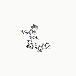 C=N/C=C(\C=C(/C)c1ccc2[nH]nc(C(=O)Nc3cncc(Cc4ccccc4)c3)c2c1)CN1CCC(F)(F)CC1